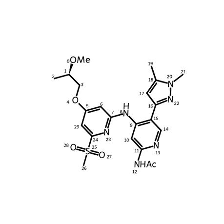 CO[C@H](C)COc1cc(Nc2cc(NC(C)=O)ncc2-c2cc(C)n(C)n2)nc(S(C)(=O)=O)c1